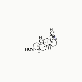 C/C=C1/CCC[C@H]2[C@@H]3CC[C@H]4C[C@@H](O)CC[C@]4(C)[C@H]3CC[C@]12C